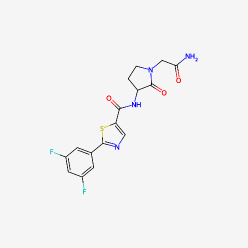 NC(=O)CN1CCC(NC(=O)c2cnc(-c3cc(F)cc(F)c3)s2)C1=O